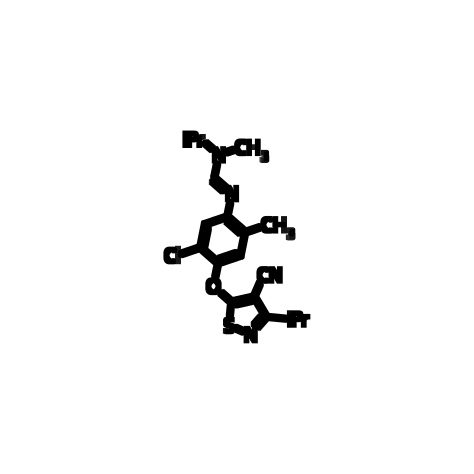 Cc1cc(Oc2snc(C(C)C)c2C#N)c(Cl)cc1N=CN(C)C(C)C